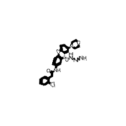 N=NNOSc1cc(NC(=O)Cc2ccccc2Cl)ccc1Oc1ccc(N2CCOCC2)cc1